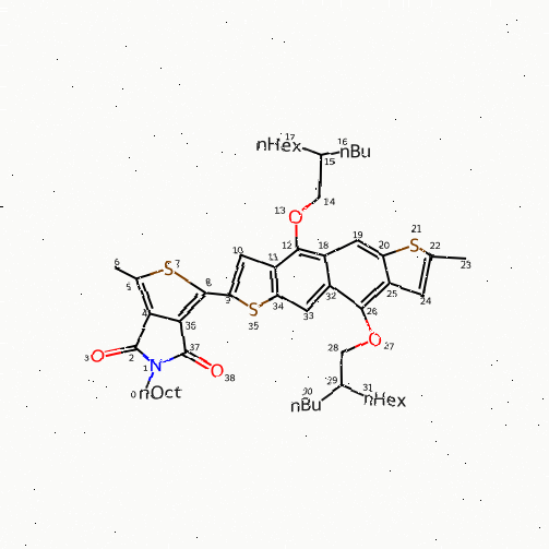 CCCCCCCCN1C(=O)c2c(C)sc(-c3cc4c(OCC(CCCC)CCCCCC)c5cc6sc(C)cc6c(OCC(CCCC)CCCCCC)c5cc4s3)c2C1=O